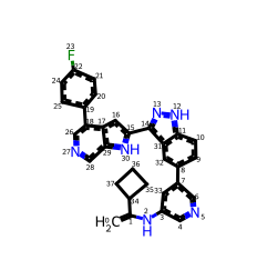 C=C(Nc1cncc(-c2ccc3[nH]nc(-c4cc5c(-c6ccc(F)cc6)cncc5[nH]4)c3c2)c1)C1CCC1